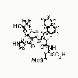 CSCC[C@H](NC(=O)CN(Cc1cccc2ccccc12)C[C@@H]1CCCN1C(=O)c1c[nH]cn1)C(=O)O.O=C(O)C(F)(F)F